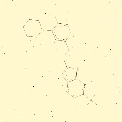 Cc1cnc(CSc2cc3ccc(C(F)(F)F)cc3[nH]2)cc1N1CCCCC1